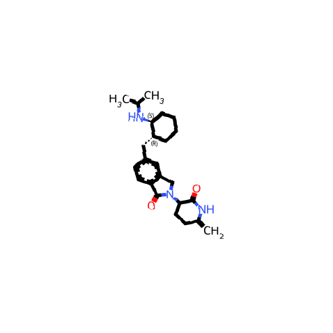 C=C1CCC(N2Cc3cc(C[C@H]4CCCC[C@@H]4NC(C)C)ccc3C2=O)C(=O)N1